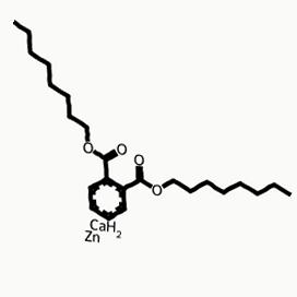 CCCCCCCCOC(=O)c1ccccc1C(=O)OCCCCCCCC.[CaH2].[Zn]